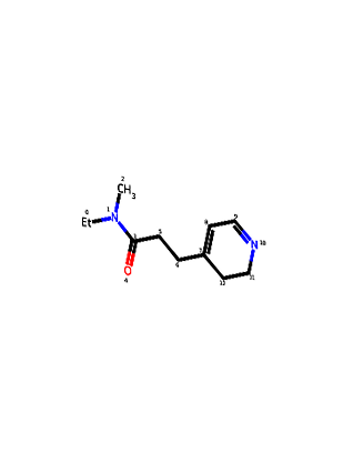 CCN(C)C(=O)CCC1=CC=NCC1